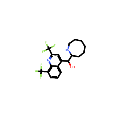 OC(c1cc(C(F)(F)F)nc2c(C(F)(F)F)cccc12)C1CCCCCCN1